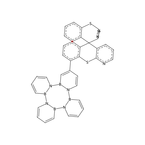 C1=CB2N(C=C1)B1C=CC=CN1B1C=C(c3cccc4c3Sc3ncccc3C43c4ccccc4Sc4ccccc43)C=CN1B1C=CC=CN21